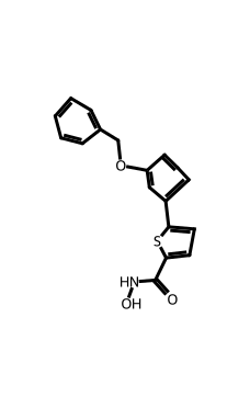 O=C(NO)c1ccc(-c2cccc(OCc3ccccc3)c2)s1